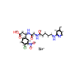 Cc1ccnc(NCCCCC(=O)NCC(=O)NC(CC(=O)O)c2ccc(Cl)c([N+](=O)[O-])c2)c1.[Na+]